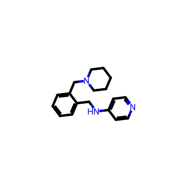 c1ccc(CN2CCCCC2)c(CNc2ccncc2)c1